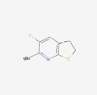 CC(C)(C)c1nc2c(cc1F)CCS2